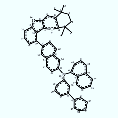 CC1(C)CCC(C)(C)c2cc3c(cc21)oc1cccc(-c2ccc4cc(N(c5cccc(-c6ccccc6)c5)c5cccc6ccccc56)ccc4c2)c13